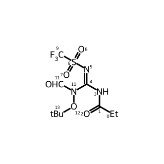 CCC(=O)NC(=NS(=O)(=O)C(F)(F)F)N(C=O)OC(C)(C)C